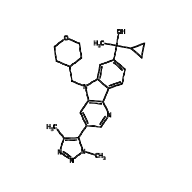 Cc1nnn(C)c1-c1cnc2c3ccc(C(C)(O)C4CC4)cc3n(CC3CCOCC3)c2c1